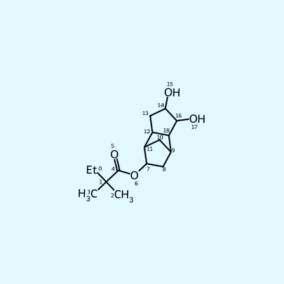 CCC(C)(C)C(=O)OC1CC2CC1C1CC(O)C(O)C21